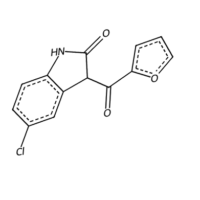 O=C1Nc2ccc(Cl)cc2C1C(=O)c1ccco1